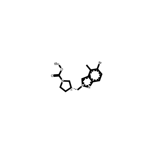 Cc1c(Br)ccc2nn(C[C@@H]3CCN(C(=O)OC(C)(C)C)C3)cc12